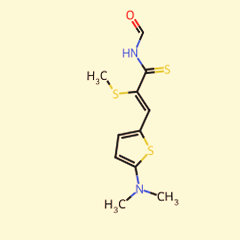 CS/C(=C\c1ccc(N(C)C)s1)C(=S)NC=O